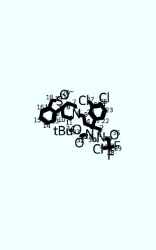 CN(CC(CCN1CCC2(CC1)c1ccccc1C[S+]2[O-])(c1ccc(Cl)c(Cl)c1)N(C)C(=O)OC(C)(C)C)C(=O)C(F)(F)Cl